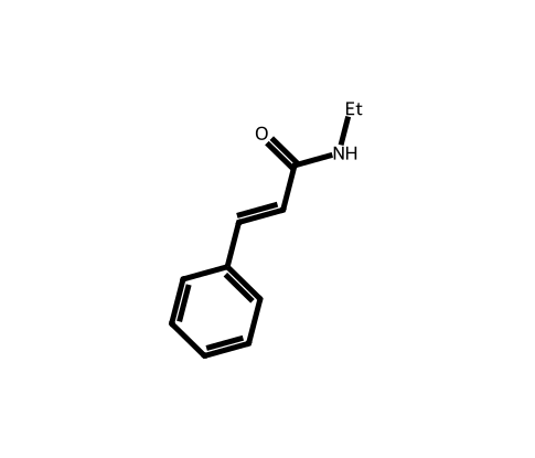 CCNC(=O)C=Cc1ccccc1